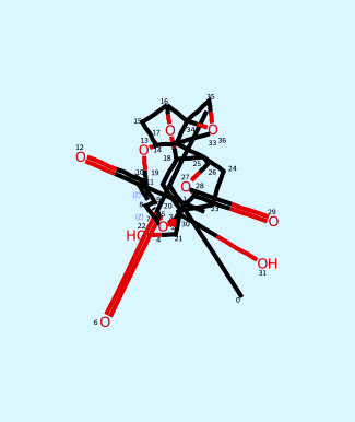 CC1CCOC(=O)/C=C\C=C/C(=O)OC2CC3OC4C=C(CO)CCC4(COC(=O)C1O)C2(C)C31CO1